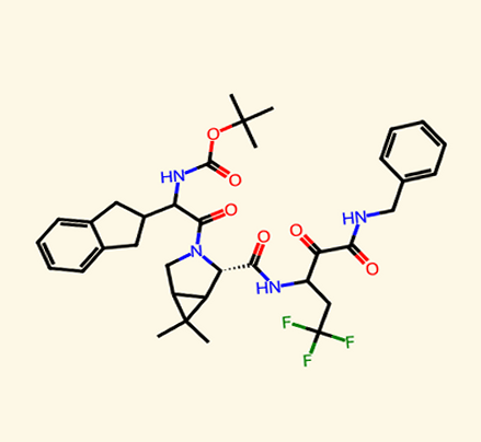 CC(C)(C)OC(=O)NC(C(=O)N1CC2C([C@H]1C(=O)NC(CC(F)(F)F)C(=O)C(=O)NCc1ccccc1)C2(C)C)C1Cc2ccccc2C1